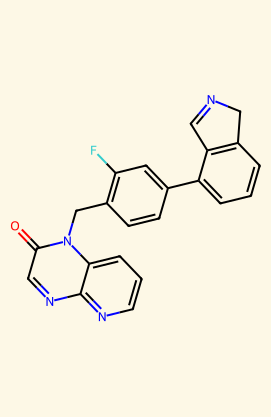 O=c1cnc2ncccc2n1Cc1ccc(-c2cccc3c2C=NC3)cc1F